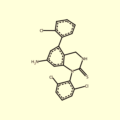 Nc1cc(-c2ccccc2Cl)c2c(c1)N(c1c(Cl)cccc1Cl)C(=S)NC2